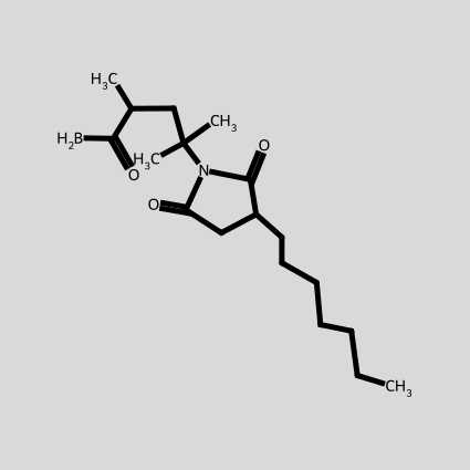 BC(=O)C(C)CC(C)(C)N1C(=O)CC(CCCCCCC)C1=O